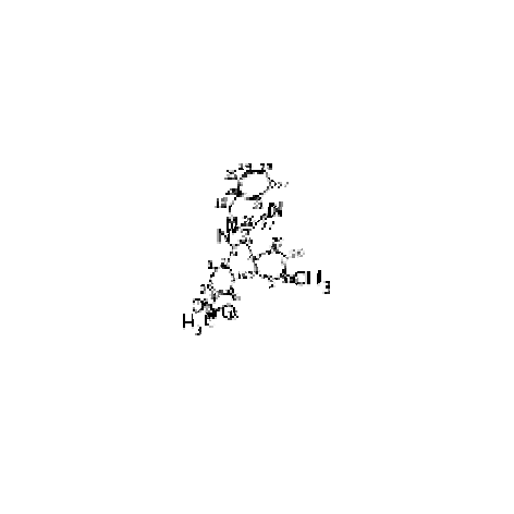 Cc1ccc(-c2c(-c3ccc(S(C)(=O)=O)cc3)nn(Cc3ccccc3)c2C#N)cc1